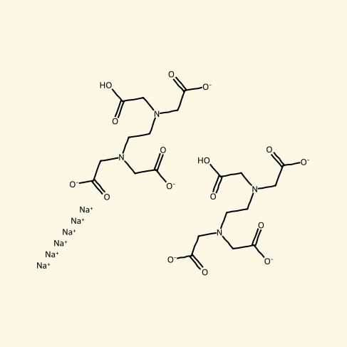 O=C([O-])CN(CCN(CC(=O)[O-])CC(=O)O)CC(=O)[O-].O=C([O-])CN(CCN(CC(=O)[O-])CC(=O)O)CC(=O)[O-].[Na+].[Na+].[Na+].[Na+].[Na+].[Na+]